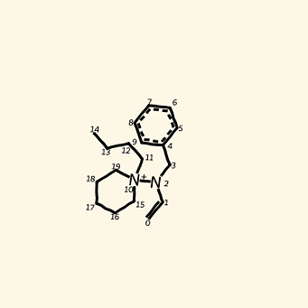 C=CN(Cc1ccccc1)[N+]1(CCCC)CCCCC1